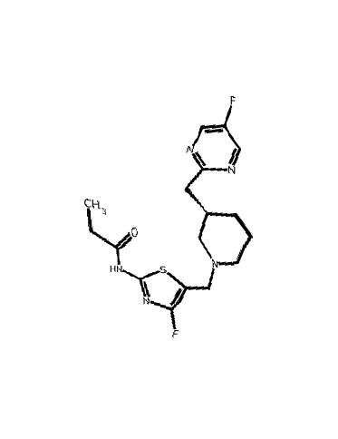 CCC(=O)Nc1nc(F)c(CN2CCC[C@H](Cc3ncc(F)cn3)C2)s1